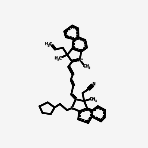 C=CCC1(C)C(/C=C/C=C/C=C2/N(CCC3CCCC3)c3ccc4ccccc4c3C2(C)CC#N)=[N+](C)c2ccc3ccccc3c21